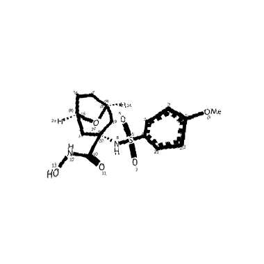 COc1ccc(S(=O)(=O)N[C@]2(C(=O)NO)C[C@H]3CC[C@@H](C2)O3)cc1